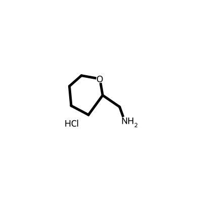 Cl.NCC1CCCCO1